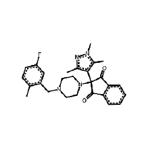 Cc1ccc(F)cc1CN1CCN(C2(c3c(C)nn(C)c3C)C(=O)c3ccccc3C2=O)CC1